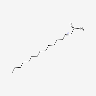 CCCCCCCCCCCCC/C=C/C(N)=O